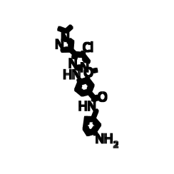 COc1cc(C(=O)NCc2cccc(N)c2)ccc1Nc1ncc(Cl)c(-c2cnn(C(C)C)c2)n1